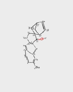 CCC(C)c1ccc2cc3c(cc2c1)C(=O)C1(CC3)CC2C=CC1C2